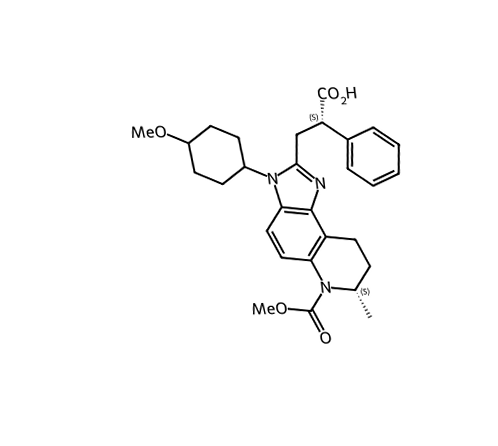 COC(=O)N1c2ccc3c(nc(C[C@H](C(=O)O)c4ccccc4)n3C3CCC(OC)CC3)c2CC[C@@H]1C